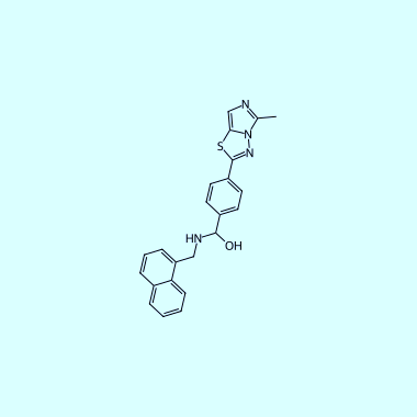 Cc1ncc2sc(-c3ccc(C(O)NCc4cccc5ccccc45)cc3)nn12